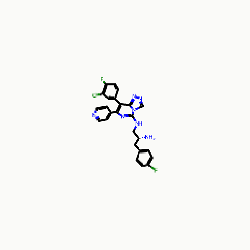 N[C@@H](CNc1nc(-c2ccncc2)c(-c2ccc(F)c(Cl)c2)c2nncn12)Cc1ccc(F)cc1